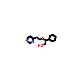 OCC(SCCc1ccncn1)c1ccccc1